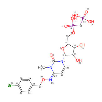 Cn1c(=O)n([C@@H]2O[C@H](COP(=O)(O)CP(=O)(O)O)C(O)C2O)cc/c1=N/OCc1ccc(Br)cc1